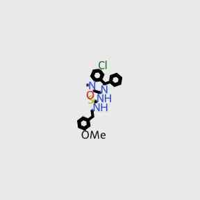 COc1cccc(CCNC(=S)NC2N=C(c3ccccc3)c3cc(Cl)ccc3N(C)C2=O)c1